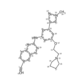 C#Cc1ccc2nc(Nc3cc(OCCN4CCCC4)cc(-c4cnn(C)c4)c3)ncc2c1